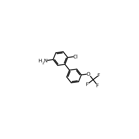 Nc1ccc(Cl)c(-c2cccc(OC(F)(F)F)c2)c1